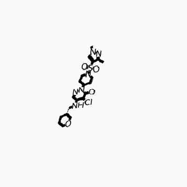 Cc1nn(C)cc1S(=O)(=O)N1CCC(n2ncc(NC[C@H]3CCCOC3)c(Cl)c2=O)CC1